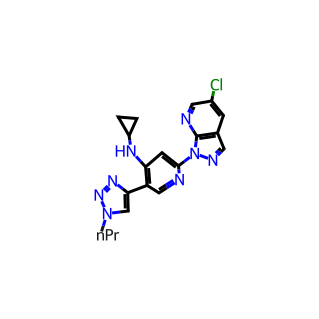 CCCn1cc(-c2cnc(-n3ncc4cc(Cl)cnc43)cc2NC2CC2)nn1